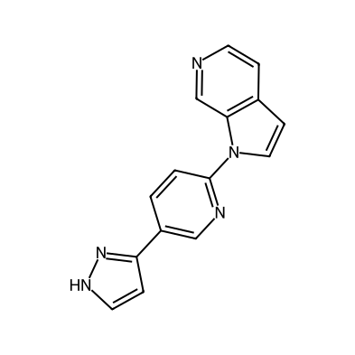 c1cc2ccn(-c3ccc(-c4cc[nH]n4)cn3)c2cn1